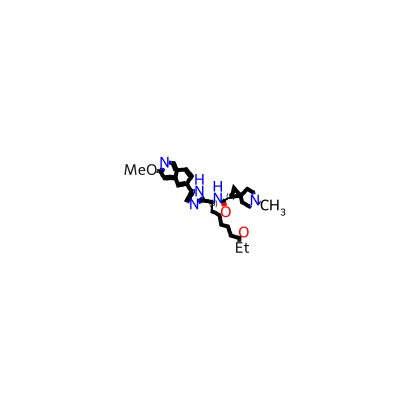 CCC(=O)CCCCC[C@H](NC(=O)[C@H]1CC12CCN(C)CC2)c1ncc(-c2ccc3cnc(OC)cc3c2)[nH]1